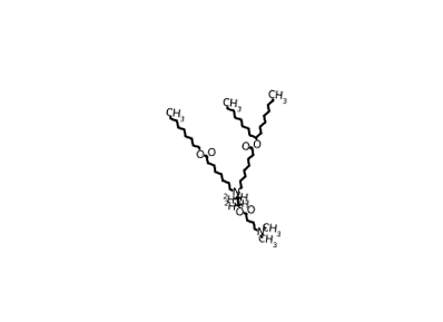 [2H]C([2H])(OC(=O)CCCN(C)C)C([2H])([2H])N(CCCCCCCC(=O)OCCCCCCCCC)CCCCCCCC(=O)OC(CCCCCCCC)CCCCCCCC